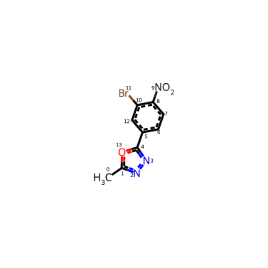 Cc1nnc(-c2ccc([N+](=O)[O-])c(Br)c2)o1